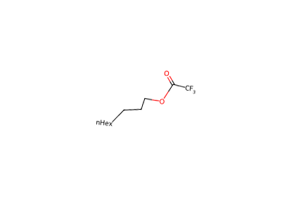 [CH2]CCCCCCCCOC(=O)C(F)(F)F